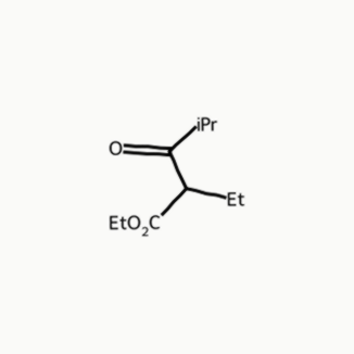 CCOC(=O)C(CC)C(=O)C(C)C